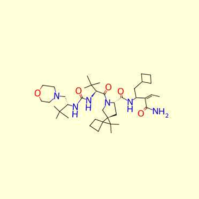 CC=C(C(N)=O)C(CC1CCC1)NC(=O)[C@@H]1C[C@@]2(CN1C(=O)[C@@H](NC(=O)N[C@@H](CN1CCOCC1)C(C)(C)C)C(C)(C)C)C(C)(C)C21CCC1